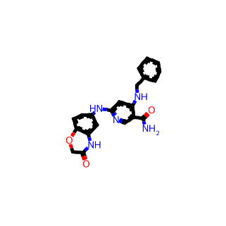 NC(=O)c1cnc(Nc2ccc3c(c2)NC(=O)CO3)cc1NCc1ccccc1